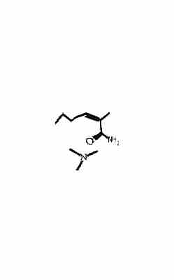 CCCC=C(C)C(N)=O.CN(C)C